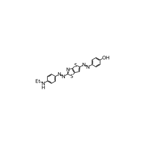 CCNc1ccc(N=Nc2nc3sc(N=Nc4ccc(O)cc4)cc3s2)cc1